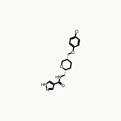 O=C(NC[C@H]1CC[C@@H](COc2ccc(Cl)cc2)CO1)c1cn[nH]c1